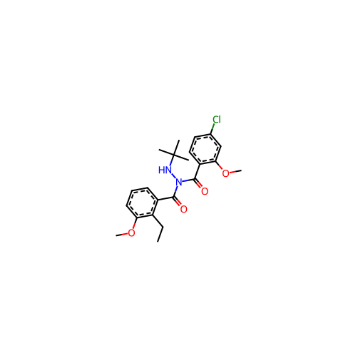 CCc1c(OC)cccc1C(=O)N(NC(C)(C)C)C(=O)c1ccc(Cl)cc1OC